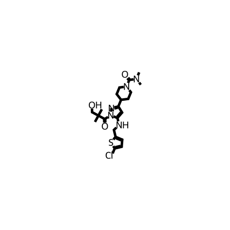 CN(C)C(=O)N1CCC(c2cc(NCc3ccc(Cl)s3)n(C(=O)C(C)(C)CO)n2)CC1